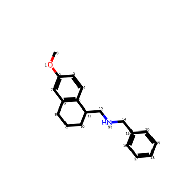 COc1ccc2c(c1)CCCC2CNCc1ccccc1